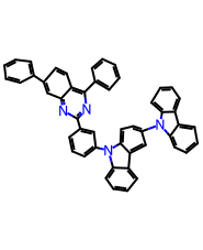 c1ccc(-c2ccc3c(-c4ccccc4)nc(-c4cccc(-n5c6ccccc6c6cc(-n7c8ccccc8c8ccccc87)ccc65)c4)nc3c2)cc1